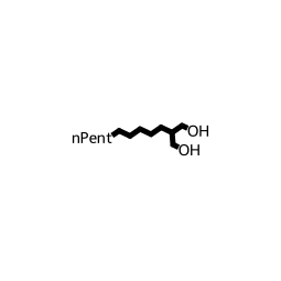 CCCCCCCCCCC(CO)CO